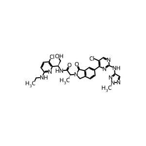 CCNc1ccc(Cl)c([C@@H](CO)NC(=O)[C@@H](C)N2Cc3ccc(-c4nc(Nc5cnn(C)n5)ncc4Cl)cc3C2=O)n1